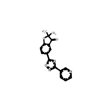 CC1(C)Oc2ccc(-c3nc(-c4cccnc4)no3)cc2C1=O